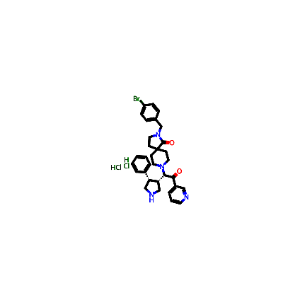 Cl.Cl.O=C(c1cccnc1)C([C@@H]1CNC[C@@H]1c1ccccc1)N1CCC2(CCN(Cc3ccc(Br)cc3)C2=O)CC1